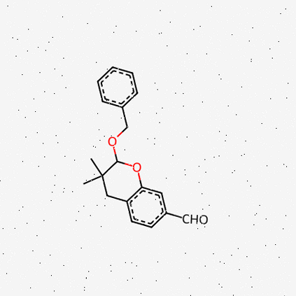 CC1(C)Cc2ccc(C=O)cc2OC1OCc1ccccc1